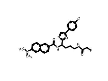 CN(C)c1ccc2cc(C(=O)NC(CCCNC(=O)CF)c3ncc(-c4ccc(Cl)cc4)o3)ccc2c1